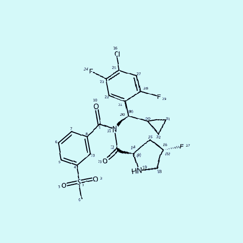 CS(=O)(=O)c1cccc(C(=O)N(C(=O)[C@H]2C[C@H](F)CN2)[C@@H](c2cc(F)c(Cl)cc2F)C2CC2)c1